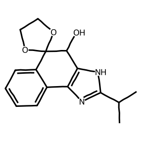 CC(C)c1nc2c([nH]1)C(O)C1(OCCO1)c1ccccc1-2